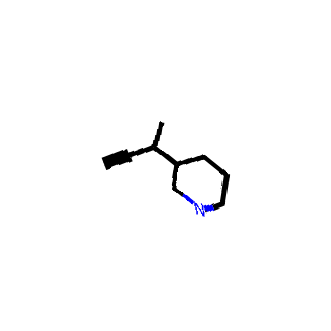 C#CC(C)C1CCC[N]C1